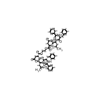 CC(C)C[C@H](NC(=O)[C@H](Cc1ccccc1)NC(=O)c1cnccn1)B1OC(=O)CC(C(=O)OCCOC(=O)[C@H]2CC(=O)OB([C@H](CC(C)C)NC(=O)[C@H](Cc3ccccc3)NC(=O)c3cnccn3)O2)O1